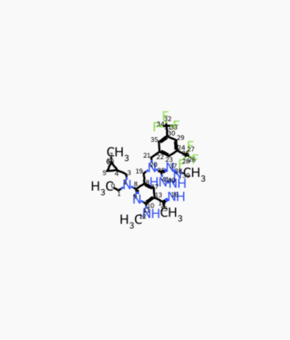 CCN(CC1C[C@H]1C)c1nc(NC)c(C(C)=N)cc1CN(Cc1cc(C(F)(F)F)cc(C(F)(F)F)c1)C1=NN(C)NN1